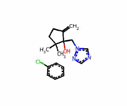 C=C1CCC(C)(C)C1(O)Cn1cncn1.Clc1ccccc1